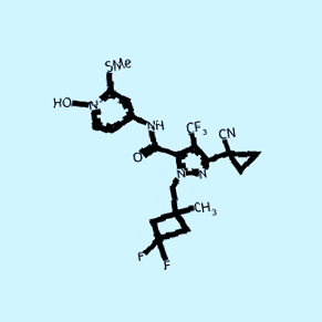 CSc1cc(NC(=O)c2c(C(F)(F)F)c(C3(C#N)CC3)nn2CC2(C)CC(F)(F)C2)cc[n+]1O